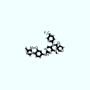 COc1cc(Nc2ncc3c(n2)N(C)C2(CCOC2)C(=O)N3c2ccc(C(F)(F)F)cn2)ccc1-n1cnc(C)c1